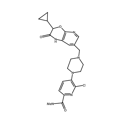 CNC(=O)c1ccc(N2CCN(Cc3cnc4c(c3)NC(=O)C(C3CC3)O4)CC2)c(Cl)n1